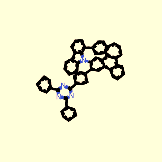 c1ccc(-c2nc(-c3ccccc3)nc(-c3ccc(-c4cc5c6ccccc6c6ccccc6c5cc4-n4c5ccccc5c5cccc(-c6ccccc6)c54)cc3)n2)cc1